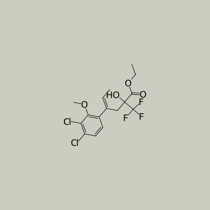 CC=C(CC(O)(C(=O)OCC)C(F)(F)F)c1ccc(Cl)c(Cl)c1OC